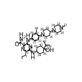 CCc1nc(C(N)=O)c(Nc2ccc(N3CCC(N4CCN(C)CC4)CC3)c(C)c2)nc1N[C@H]1CC[C@@](O)(C(C)C)CC1